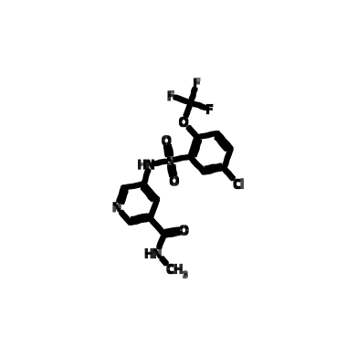 CNC(=O)c1cncc(NS(=O)(=O)c2cc(Cl)ccc2OC(F)(F)F)c1